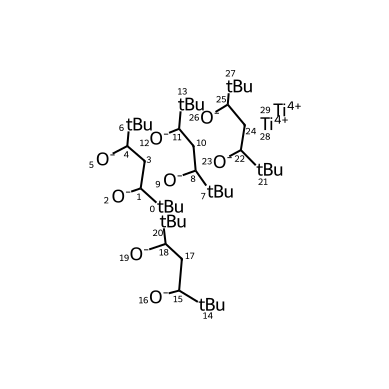 CC(C)(C)C([O-])CC([O-])C(C)(C)C.CC(C)(C)C([O-])CC([O-])C(C)(C)C.CC(C)(C)C([O-])CC([O-])C(C)(C)C.CC(C)(C)C([O-])CC([O-])C(C)(C)C.[Ti+4].[Ti+4]